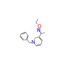 CCON=C(C)C1=CC=CN(Cc2ccccc2)C1